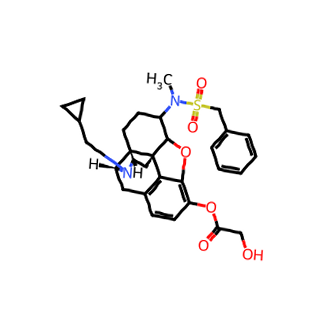 CN(C1CC[C@H]2[C@H]3Cc4ccc(OC(=O)CO)c5c4[C@@]2(CCN3CC2CC2)C1O5)S(=O)(=O)Cc1ccccc1